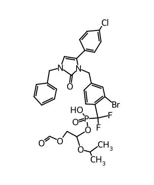 CC(C)OC(COC=O)OP(=O)(O)C(F)(F)c1ccc(Cn2c(-c3ccc(Cl)cc3)cn(Cc3ccccc3)c2=O)cc1Br